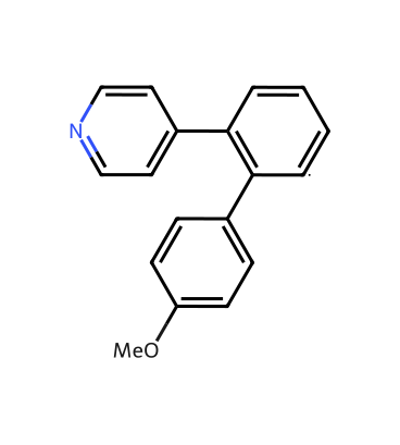 COc1ccc(-c2[c]cccc2-c2ccncc2)cc1